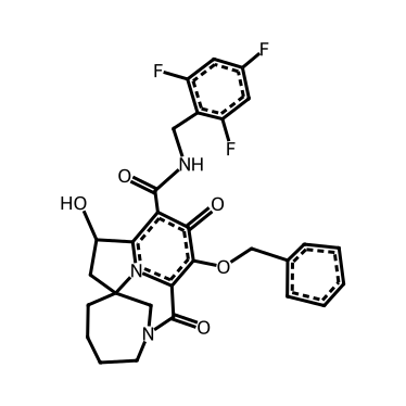 O=C(NCc1c(F)cc(F)cc1F)c1c2n3c(c(OCc4ccccc4)c1=O)C(=O)N1CCCCC3(CC2O)C1